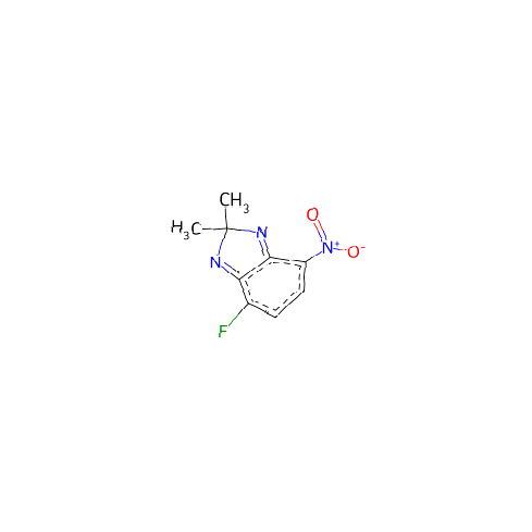 CC1(C)N=c2c(F)ccc([N+](=O)[O-])c2=N1